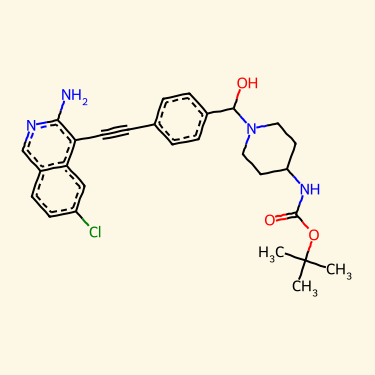 CC(C)(C)OC(=O)NC1CCN(C(O)c2ccc(C#Cc3c(N)ncc4ccc(Cl)cc34)cc2)CC1